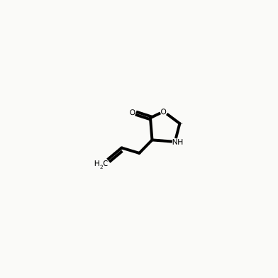 C=CCC1N[CH]OC1=O